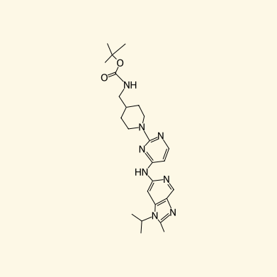 Cc1nc2cnc(Nc3ccnc(N4CCC(CNC(=O)OC(C)(C)C)CC4)n3)cc2n1C(C)C